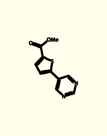 COC(=O)c1ccc(-c2cncnc2)s1